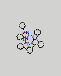 O=c1c2ccccc2c2cccc3c4c5ccccc5c5c6ccccc6n(-c6nc(-c7ccccc7)c7ccccc7n6)c5c4n1c23